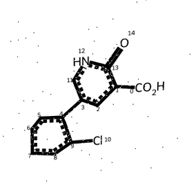 O=C(O)c1cc(-c2ccccc2Cl)c[nH]c1=O